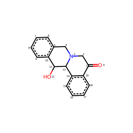 O=C1CN2Cc3ccccc3C(O)C2c2ccccc21